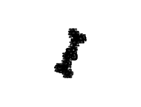 O=c1c2ccc(-c3ccc4c(c3)c3ccccc3n4-c3ccccc3)cc2sc2ccc(-c3ccc4c(c3)c3ccccc3n4-c3ccccc3)cc12